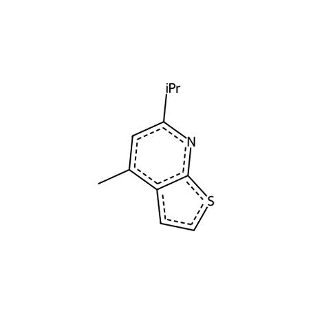 Cc1cc(C(C)C)nc2sccc12